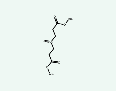 CCCCOC(=O)C[CH2][Sn](=[O])[CH2]CC(=O)OCCCC